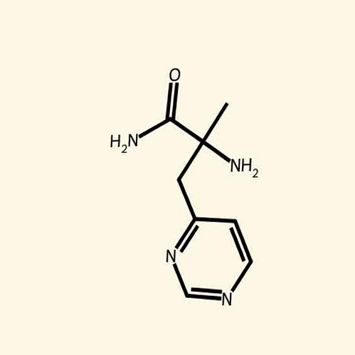 CC(N)(Cc1ccncn1)C(N)=O